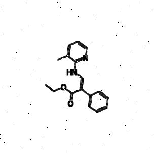 CCOC(=O)/C(=C\Nc1ncccc1C)c1ccccc1